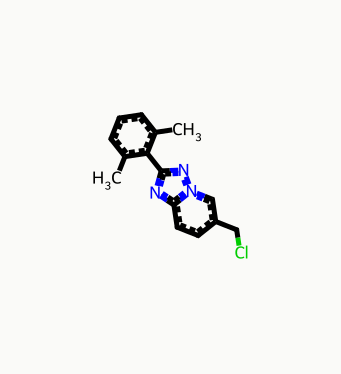 Cc1cccc(C)c1-c1nc2ccc(CCl)cn2n1